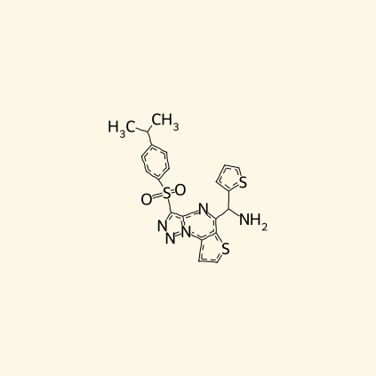 CC(C)c1ccc(S(=O)(=O)c2nnn3c2nc(C(N)c2cccs2)c2sccc23)cc1